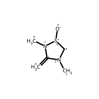 C=C1N(C)C[S+]([O-])N1C